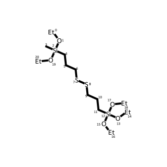 CCO[Si](C)(CCCSSCCC[Si](OCC)(OCC)OCC)OCC